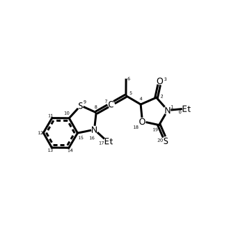 CCN1C(=O)C(C(C)=C=C2Sc3ccccc3N2CC)OC1=S